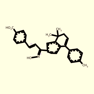 Cc1ccc(C2=CCC(C)(C)c3cc(C(/C=C/c4ccc(C(=O)O)cc4)=N/O)ccc32)cc1